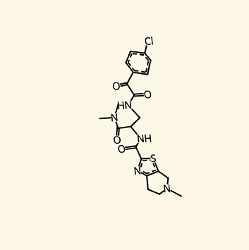 CN1CCc2nc(C(=O)NC(CNC(=O)C(=O)c3ccc(Cl)cc3)C(=O)N(C)C)sc2C1